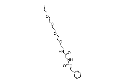 CCCOCCOCCOCCOCCNC(=O)CNC(=O)OCc1ccccc1